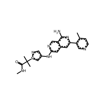 CNC(=O)C(C)(C)n1cc(Nc2cc3cc(-c4cnccc4C)nc(N)c3cn2)cn1